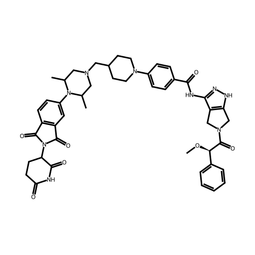 CO[C@@H](C(=O)N1Cc2[nH]nc(NC(=O)c3ccc(N4CCC(CN5CC(C)N(c6ccc7c(c6)C(=O)N(C6CCC(=O)NC6=O)C7=O)C(C)C5)CC4)cc3)c2C1)c1ccccc1